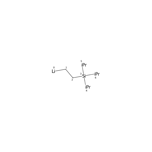 [Li][CH2]C[Si](C(C)C)(C(C)C)C(C)C